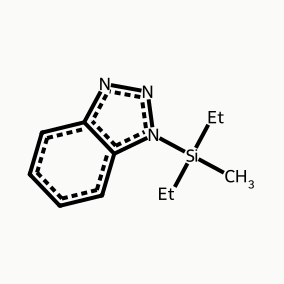 CC[Si](C)(CC)n1nnc2ccccc21